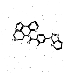 O=C(c1ccc(-n2nnc3cccnc32)cc1F)N(c1ncccc1-c1ccsc1)[C@@H]1CCCNC1